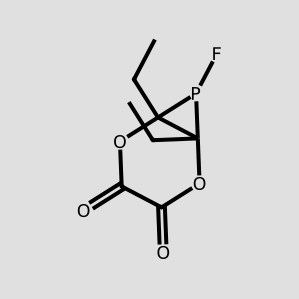 CCC12OC(=O)C(=O)OC1(CC)P2F